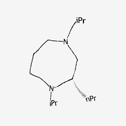 CCC[C@H]1CN(C(C)C)CCCN1C(C)C